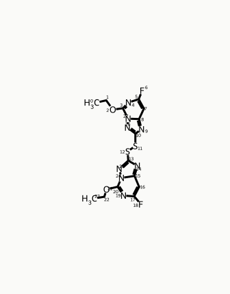 CCOc1nc(F)cc2nc(SSc3nc4cc(F)nc(OCC)n4n3)nn12